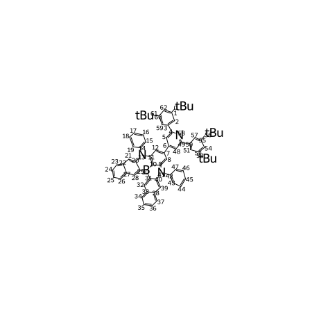 CC(C)(C)c1cc(-c2cc(-c3cc4c5c(c3)N(c3ccccc3)c3cc6ccccc6cc3B5c3cc5ccccc5cc3N4c3ccccc3)cc(-c3cc(C(C)(C)C)cc(C(C)(C)C)c3)n2)cc(C(C)(C)C)c1